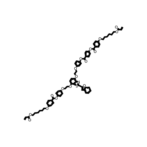 C=CC(=O)OCCCCCCOc1ccc(C(=O)Oc2ccc(OCCOc3ccc(OCCOc4ccc(OC(=O)c5ccc(OC(=O)c6ccc(OCCCCCCOC(=O)C=C)cc6)cc5)cc4)c4nc(-c5cc6ccccc6o5)sc34)cc2)cc1